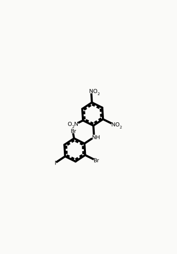 O=[N+]([O-])c1cc([N+](=O)[O-])c(Nc2c(Br)cc(I)cc2Br)c([N+](=O)[O-])c1